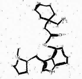 CN1CCC[C@@H]1Cc1c[nH]c2cccc(OC(=O)CC3(CN)CCCCC3)c12